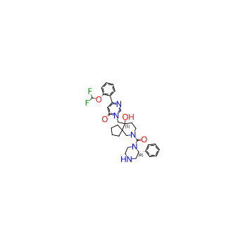 O=C(N1CC[C@@](O)(Cn2cnc(-c3ccccc3OC(F)F)cc2=O)C2(CCCC2)C1)N1CCNC[C@H]1c1ccccc1